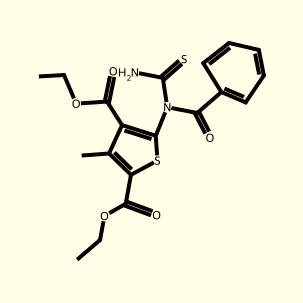 CCOC(=O)c1sc(N(C(=O)c2ccccc2)C(N)=S)c(C(=O)OCC)c1C